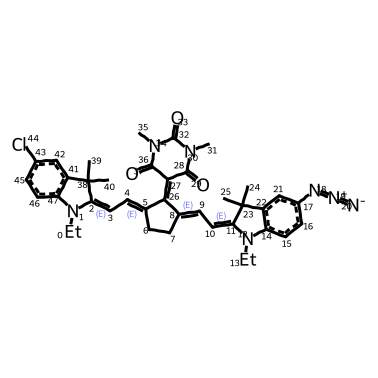 CCN1/C(=C/C=C2\CC/C(=C\C=C3\N(CC)c4ccc(N=[N+]=[N-])cc4C3(C)C)C2=C2C(=O)N(C)C(=O)N(C)C2=O)C(C)(C)c2cc(Cl)ccc21